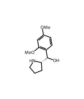 COc1ccc(C(O)[C@@H]2CCCN2)c(OC)c1